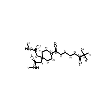 CNC(=O)CC1(CC(=O)NC)CCN(C(=O)CCCCC(=O)C(C)(C)C)CC1